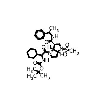 C[C@@H](NC(=O)[C@H]1CN(S(C)(=O)=O)[C@@H]2CCN(C(=O)C(NC(=O)OC(C)(C)C)C3CCCCC3)[C@H]12)c1ccccc1